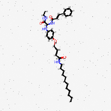 CCCCCCCCCCCCNC(=O)CCCOc1ccc(NC(NC(=O)C=Cc2ccccc2)C(=O)NCC)cc1